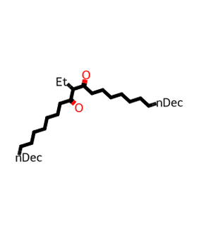 CCCCCCCCCCCCCCCCCC(=O)[C](CC)C(=O)CCCCCCCCCCCCCCCCC